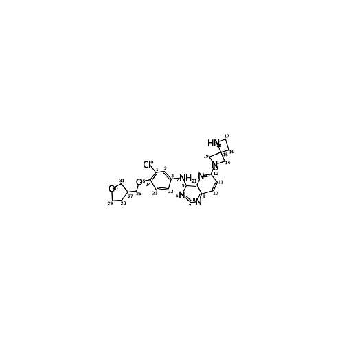 Clc1cc(Nc2ncnc3ccc(N4CC5(CCN5)C4)nc23)ccc1OCC1CCOC1